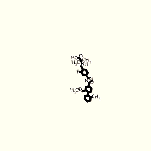 COCc1cc(-c2nc(-c3ccc(CNC(C)(C)C(=O)O)c(F)c3)no2)ccc1-c1ccccc1C